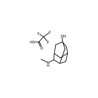 CNC1C2CC3CC1CC(O)(C3)C2.O=C(O)C(F)(F)F